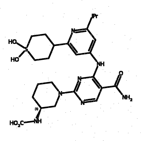 CC(C)c1cc(Nc2nc(N3CCC[C@H](NC(=O)O)C3)ncc2C(N)=O)cc(C2CCS(O)(O)CC2)n1